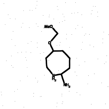 COCOC1CCCC(N)[SiH2]CC1